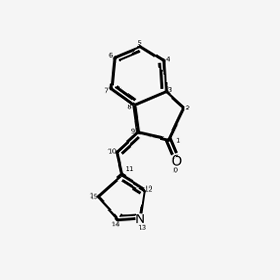 O=C1Cc2ccccc2/C1=C/C1=CN=CC1